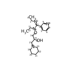 CCN=C(c1cccnc1)N(CC)OCC(O)CN1CCCCC1